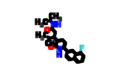 CC(C)NC(=O)CC(c1ccc(-c2ccc3cccc(F)c3c2)[nH]c1=O)C(C)C